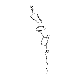 CCCC=CCCOc1ccc(-c2ccc(-c3ccc(C#N)cc3)cc2)nc1